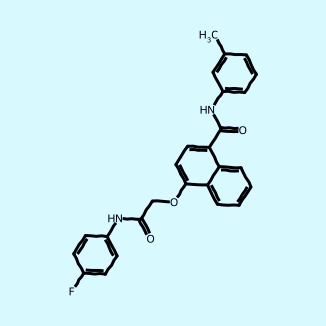 Cc1cccc(NC(=O)c2ccc(OCC(=O)Nc3ccc(F)cc3)c3ccccc23)c1